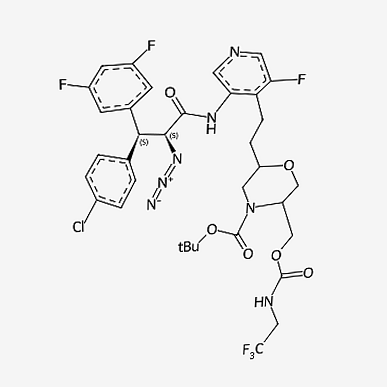 CC(C)(C)OC(=O)N1CC(CCc2c(F)cncc2NC(=O)[C@@H](N=[N+]=[N-])[C@@H](c2ccc(Cl)cc2)c2cc(F)cc(F)c2)OCC1COC(=O)NCC(F)(F)F